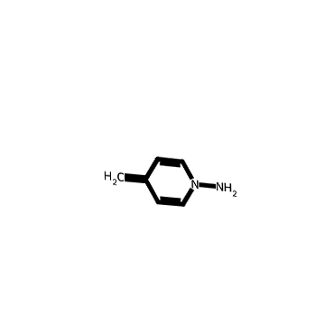 C=C1C=CN(N)C=C1